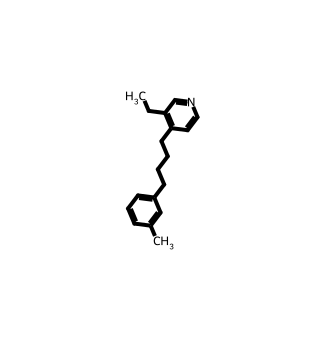 CCc1cnccc1CCCCc1cccc(C)c1